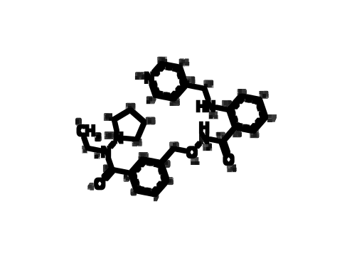 CCN(C(=O)c1cccc(CONC(=O)c2ccccc2NCc2ccncc2)c1)N1CCCC1